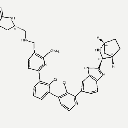 COc1nc(-c2cccc(-c3ccnc(-c4ccc5nc([C@H]6N[C@@H]7CC[C@H]6C7)[nH]c5c4)c3Cl)c2Cl)ccc1CNC[C@@H]1CCC(=O)N1